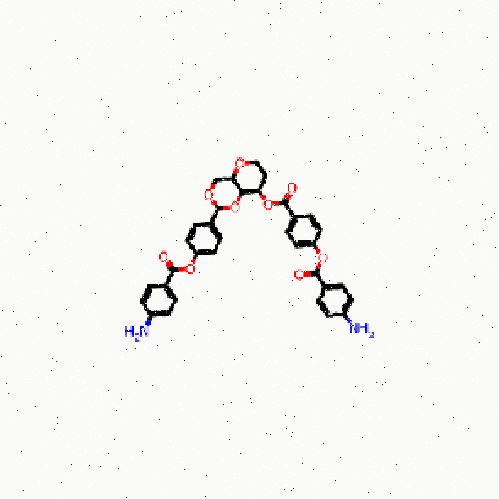 Nc1ccc(C(=O)Oc2ccc(C(=O)OC3CCOC4COC(c5ccc(OC(=O)c6ccc(N)cc6)cc5)OC43)cc2)cc1